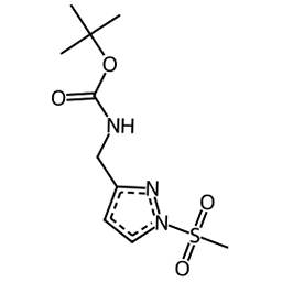 CC(C)(C)OC(=O)NCc1ccn(S(C)(=O)=O)n1